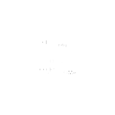 CCOC(=O)CCC(F)(F)F.COC(=O)CC(C)(C)C